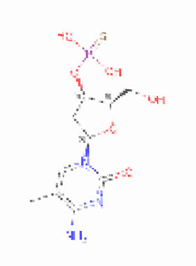 Cc1cn([C@H]2C[C@@H](OP(O)(O)=S)[C@@H](CO)O2)c(=O)nc1N